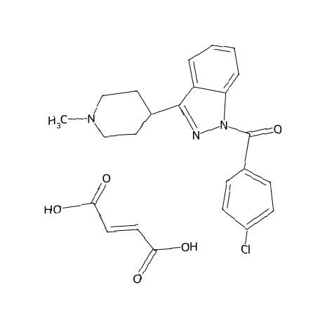 CN1CCC(c2nn(C(=O)c3ccc(Cl)cc3)c3ccccc23)CC1.O=C(O)C=CC(=O)O